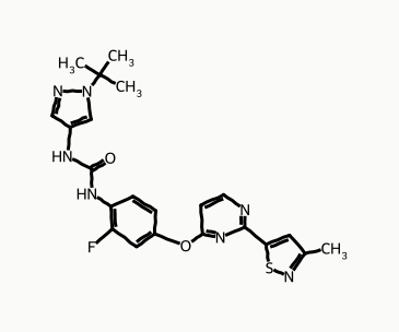 Cc1cc(-c2nccc(Oc3ccc(NC(=O)Nc4cnn(C(C)(C)C)c4)c(F)c3)n2)sn1